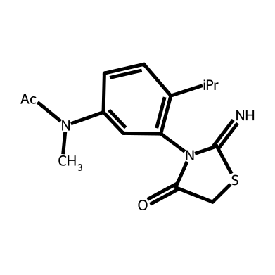 CC(=O)N(C)c1ccc(C(C)C)c(N2C(=N)SCC2=O)c1